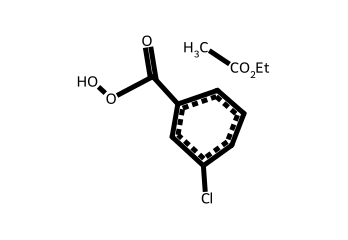 CCOC(C)=O.O=C(OO)c1cccc(Cl)c1